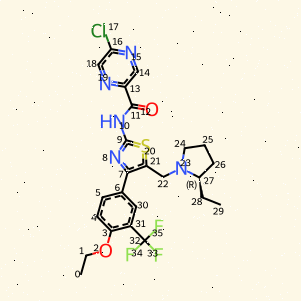 CCOc1ccc(-c2nc(NC(=O)c3cnc(Cl)cn3)sc2CN2CCC[C@H]2CC)cc1C(F)(F)F